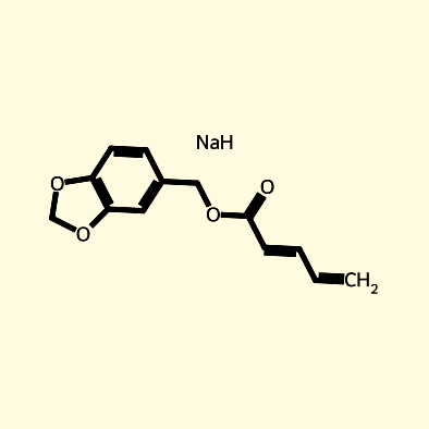 C=CC=CC(=O)OCc1ccc2c(c1)OCO2.[NaH]